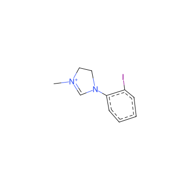 C[N+]1=CN(c2ccccc2I)CC1